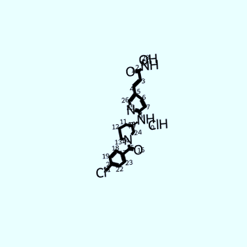 Cl.O=C(C=Cc1ccc(N[C@@H]2CCCN(C(=O)c3ccc(Cl)cc3)C2)nc1)NO